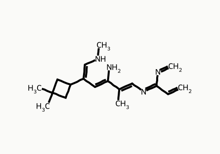 C=C/C(N=C)=N/C=C(C)/C(N)=C/C(=C\NC)C1CC(C)(C)C1